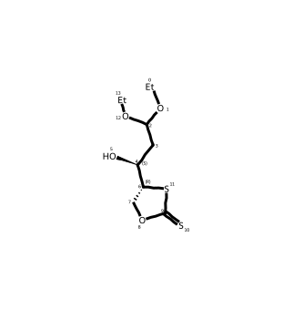 CCOC(C[C@H](O)[C@H]1COC(=S)S1)OCC